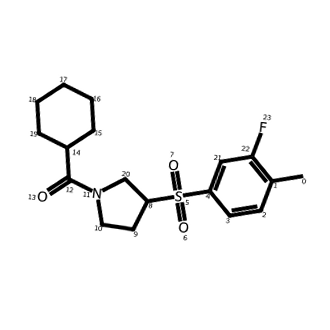 Cc1ccc(S(=O)(=O)C2CCN(C(=O)C3CCCCC3)C2)cc1F